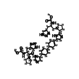 COC(=O)N[C@H](Cc1c[nH]nn1)CN1CCC[C@H]1c1ncc(-c2ccc(-c3ccc(-c4cnc([C@@H]5CCCN5C(=O)[C@H](Cc5c[nH]nn5)NC(=O)OC)[nH]4)cc3)cc2)[nH]1